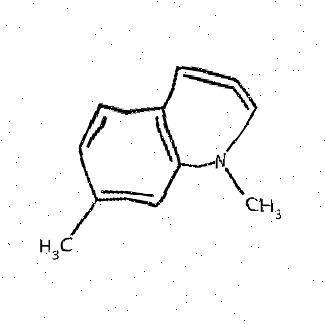 Cc1ccc2c(c1)N(C)C=C=C2